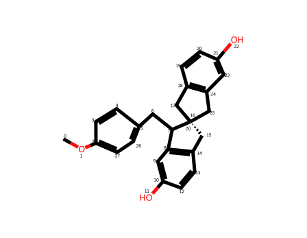 COc1ccc(CC2c3cc(O)ccc3C[C@@]23Cc2ccc(O)cc2C3)cc1